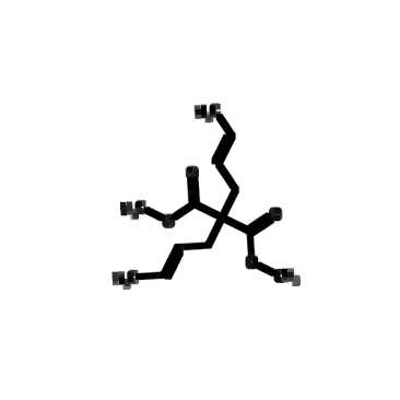 CC=CCC(CC=CC)(C(=O)OC)C(=O)OC